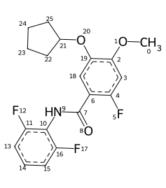 COc1cc(F)c(C(=O)Nc2c(F)cccc2F)cc1OC1CCCC1